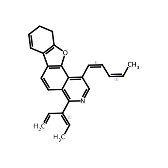 C=C/C(=C\C)c1ncc(/C=C\C=C/C)c2c1ccc1c3c(oc12)CCC=C3